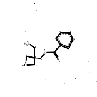 CCC1(COC(=O)c2ccccc2)COC1